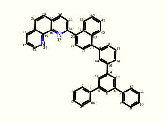 c1ccc(-c2cc(-c3ccccc3)cc(-c3cccc(-c4ccc(-c5ccc6ccc7cccnc7c6n5)c5ccccc45)c3)c2)cc1